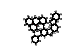 c1ccc(-c2cc3c(c(-c4cccc5cc6ccccc6cc45)c2-c2ccccn2)-c2c4c(ccc2=N3)=c2ccccc2=N4)cc1